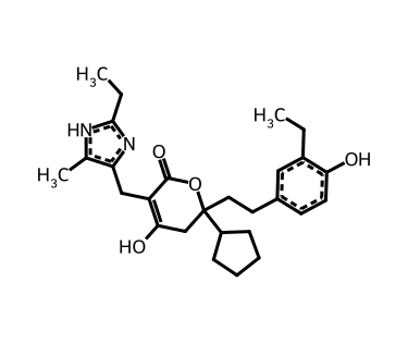 CCc1nc(CC2=C(O)CC(CCc3ccc(O)c(CC)c3)(C3CCCC3)OC2=O)c(C)[nH]1